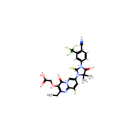 CCc1nc2c(F)cc(N3C(=S)N(c4ccc(C#N)c(C(F)(F)F)c4)C(=O)C3(C)C)cn2c(=O)c1OCC(=O)O